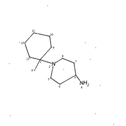 CC1(N2CCC(N)CC2)CCCCC1